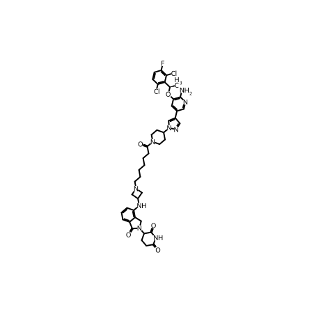 C[C@@H](Oc1cc(-c2cnn(C3CCN(C(=O)CCCCCCN4CC(Nc5cccc6c5CN(C5CCC(=O)NC5=O)C6=O)C4)CC3)c2)cnc1N)c1c(Cl)ccc(F)c1Cl